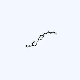 CCCCCC[C@H]1CC[C@H]([C@H]2CC[C@H](COC)CC2)CC1